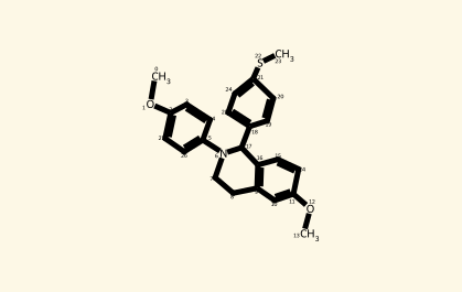 COc1ccc(N2CCc3cc(OC)ccc3C2c2ccc(SC)cc2)cc1